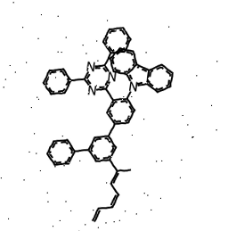 C=C/C=C\C=C(/C)c1cc(-c2ccccc2)cc(-c2ccc(-n3c4ccccc4c4ccccc43)c(-c3nc(-c4ccccc4)nc(-c4ccccc4)n3)c2)c1